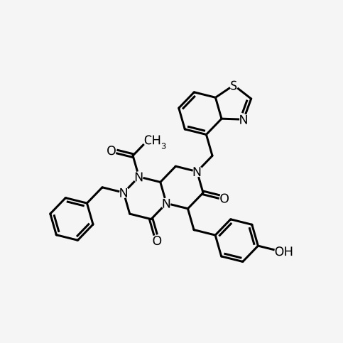 CC(=O)N1C2CN(CC3=CC=CC4SC=NC34)C(=O)C(Cc3ccc(O)cc3)N2C(=O)CN1Cc1ccccc1